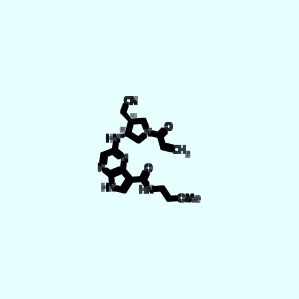 C=CC(=O)N1C[C@H](CC#N)[C@@H](Nc2cnc3[nH]cc(C(=O)NCCOC)c3n2)C1